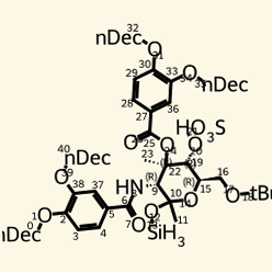 CCCCCCCCCCOc1ccc(C(=O)N[C@H]2C(C)(O[SiH3])O[C@H](COC(C)(C)C)[C@@H](OS(=O)(=O)O)[C@]2(C)OC(=O)c2ccc(OCCCCCCCCCC)c(OCCCCCCCCCC)c2)cc1OCCCCCCCCCC